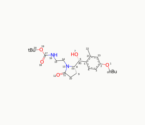 CCCCOc1ccc([C@@H](O)[C@@H]2CCC(=O)N2CCNC(=O)OC(C)(C)C)c(C)c1